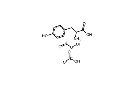 N[C@@H](Cc1ccc(O)cc1)C(=O)O.O=NOO.O=[N+]([O-])O